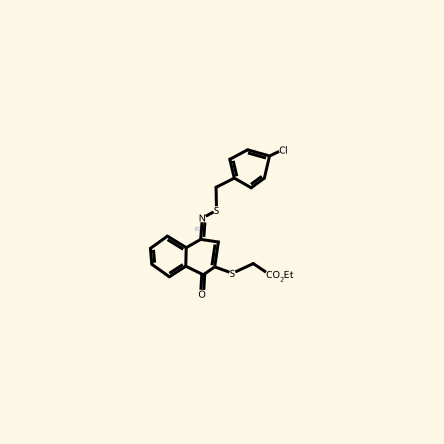 CCOC(=O)CSC1=C/C(=N\SCc2ccc(Cl)cc2)c2ccccc2C1=O